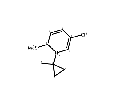 CSC1C=CC(Cl)=CN1C1(C)CC1